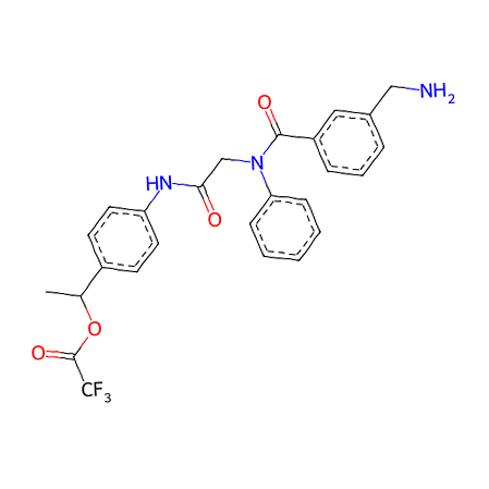 CC(OC(=O)C(F)(F)F)c1ccc(NC(=O)CN(C(=O)c2cccc(CN)c2)c2ccccc2)cc1